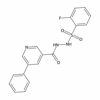 O=C(NNS(=O)(=O)c1ccccc1F)c1cncc(-c2ccccc2)c1